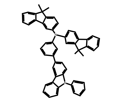 CC1(C)c2ccccc2-c2cc(N(c3cccc(-c4ccc5c(c4)c4ccccc4n5-c4ccccc4)c3)c3ccc4c(c3)C(C)(C)c3ccccc3-4)ccc21